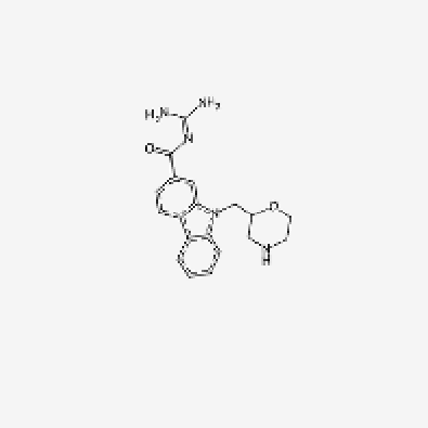 NC(N)=NC(=O)c1ccc2c3ccccc3n(CC3CNCCO3)c2c1